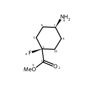 COC(=O)[C@]1(F)CC[C@@H](N)CC1